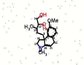 COc1ccc2c(c1)C1(CCC(C)C(O)CO)CCN(C)C1=CC2